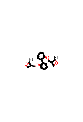 CCC1OCC1COc1ccccc1-c1ccccc1OCC1COC1CC